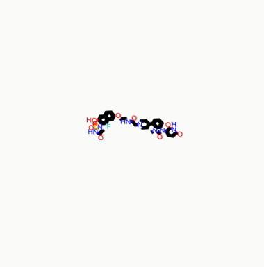 Cn1c(=O)n(C2CCC(=O)NC2=O)c2cccc(C3CCN(CC(=O)NCCOc4ccc5cc(O)c(N6CC(=O)NS6(=O)=O)c(F)c5c4)CC3)c21